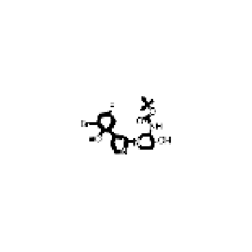 COc1c(Br)cc(F)cc1-c1ccnc(N2CC[C@@H](O)[C@H](NC(=O)OC(C)(C)C)C2)c1